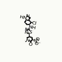 Cn1cc(-c2nnc(Nc3ccc4[nH]ncc4c3Cl)s2)cc([N+](=O)[O-])c1=O